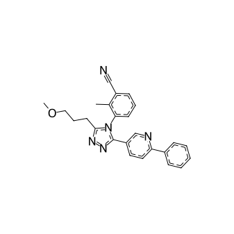 COCCCc1nnc(-c2ccc(-c3ccccc3)nc2)n1-c1cccc(C#N)c1C